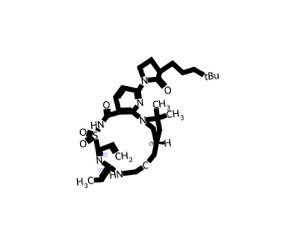 C=C/C1=N\C(=C/C)NCCC[C@@H]2CN(c3nc(N4CCC(CCCC(C)(C)C)C4=O)ccc3C(=O)NS1(=O)=O)C(C)(C)C2